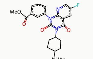 COC(=O)c1cccc(-n2c(=O)n(C3CCC(NC(C)=O)CC3)c(=O)c3cc(F)cnc32)c1